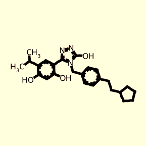 CC(C)c1cc(-c2nnc(O)n2Cc2ccc(CCC3CCCC3)cc2)c(O)cc1O